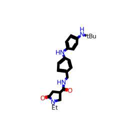 CCN1CC(C(=O)NCc2ccc(Nc3ccc(NC(C)(C)C)cc3)cc2)CC1=O